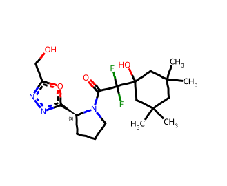 CC1(C)CC(C)(C)CC(O)(C(F)(F)C(=O)N2CCC[C@H]2c2nnc(CO)o2)C1